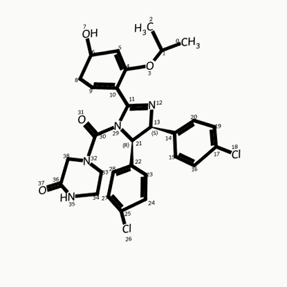 CC(C)OC1=CC(O)CC=C1C1=N[C@@H](c2ccc(Cl)cc2)[C@@H](c2ccc(Cl)cc2)N1C(=O)N1CCNC(=O)C1